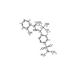 CN(C)S(=O)(=O)c1ccc(C(NC(=O)c2ccccc2O)C(C)(O)C(F)(F)F)cc1